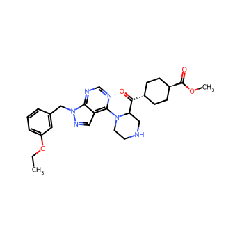 CCOc1cccc(Cn2ncc3c(N4CCNCC4C(=O)[C@H]4CC[C@H](C(=O)OC)CC4)ncnc32)c1